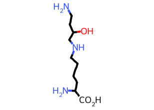 NCCC(O)CNCCCCC(N)C(=O)O